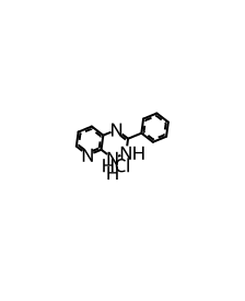 Cl.c1ccc(C2=Nc3cccnc3NN2)cc1